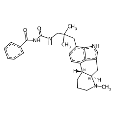 CN1CCC[C@@H]2c3ccc(CC(C)(C)CNC(=O)NC(=O)c4ccccc4)c4[nH]cc(c34)C[C@H]21